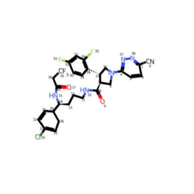 N#Cc1ccc(N2C[C@@H](C(=O)NCCC[C@H](NC(=O)CC(F)(F)F)C3C=CC(Cl)=CC3)[C@H](c3ccc(F)cc3F)C2)nn1